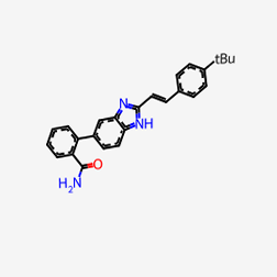 CC(C)(C)c1ccc(/C=C/c2nc3cc(-c4ccccc4C(N)=O)ccc3[nH]2)cc1